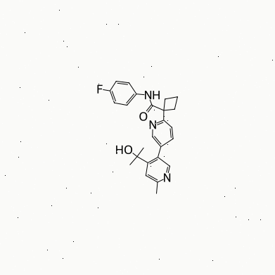 Cc1cc(C(C)(C)O)c(-c2ccc(C3(C(=O)Nc4ccc(F)cc4)CCC3)nc2)cn1